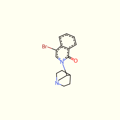 O=c1c2ccccc2c(Br)cn1C1CN2CCC1CC2